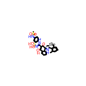 Cc1cccc(C)c1CN[C@]1(CCC(C)(C)C)C(=O)C(C2=NS(O)(O)c3cc(NS(C)(=O)=O)ccc3N2)=C(O)c2ccccc21